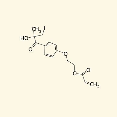 C=CC(=O)OCCOc1ccc(C(=O)C(C)(O)CI)cc1